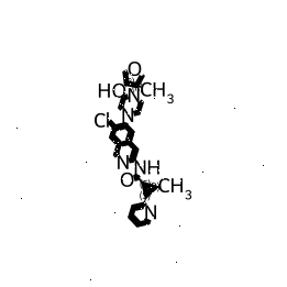 C[C@H]1[C@H](C(=O)Nc2cc3cc(N4CCN([C@]5(C)COC[C@@H]5O)CC4)c(Cl)cc3cn2)[C@H]1c1ccccn1